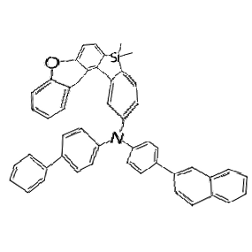 C[Si]1(C)c2ccc(N(c3ccc(-c4ccccc4)cc3)c3ccc(-c4ccc5ccccc5c4)cc3)cc2-c2c1ccc1oc3ccccc3c21